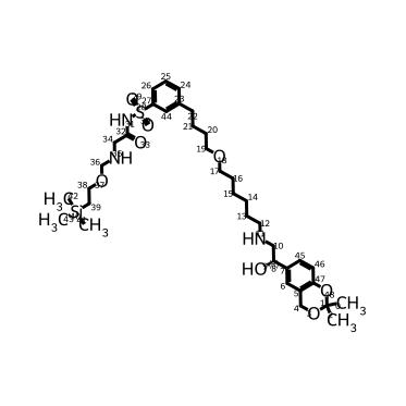 CC1(C)OCc2cc([C@@H](O)CNCCCCCCOCCCCc3cccc(S(=O)(=O)NC(=O)CNCOCC[Si](C)(C)C)c3)ccc2O1